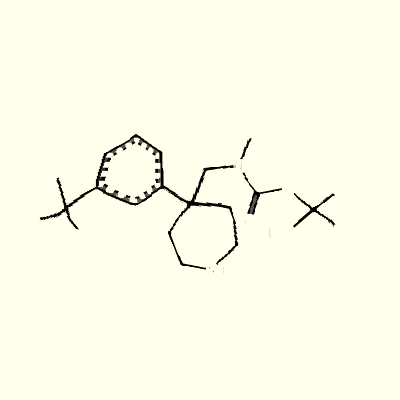 CN(CC1(c2cccc(C(F)(F)F)c2)CCNCC1)C(=O)OC(C)(C)C